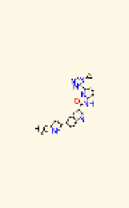 Cc1ccc(-c2ccc3ncc(C(=O)Nc4cccc(-c5nncn5C5CC5)n4)cc3c2)cn1